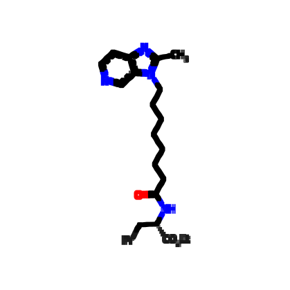 CCOC(=O)[C@H](CC(C)C)NC(=O)CCCCCCCn1c(C)nc2ccncc21